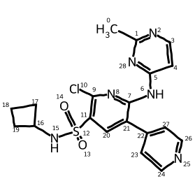 Cc1nccc(Nc2nc(Cl)c(S(=O)(=O)NC3CCC3)cc2-c2ccncc2)n1